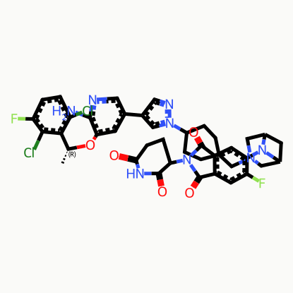 C[C@@H](Oc1cc(-c2cnn(C3CCC(CN4CC5CC(C4)N5c4cc5c(cc4F)C(=O)N(C4CCC(=O)NC4=O)C5=O)CC3)c2)cnc1N)c1c(Cl)ccc(F)c1Cl